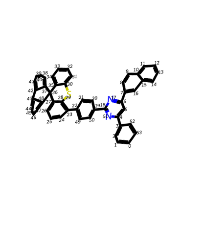 c1ccc(-c2cc(-c3ccc4ccccc4c3)nc(-c3ccc(-c4cccc5c4Sc4ccccc4C54c5ccccc5-c5ccccc54)cc3)n2)cc1